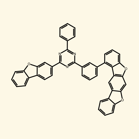 c1ccc(-c2nc(-c3cccc(-c4cccc5oc6cc7oc8ccccc8c7cc6c45)c3)nc(-c3ccc4c(c3)oc3ccccc34)n2)cc1